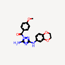 COc1ccc(C(=O)n2nc(Nc3ccc4c(c3)OCCO4)nc2N)cc1